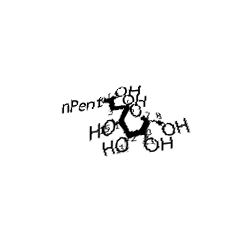 CCCCCC(O)C[C@]1(O)O[C@H](CO)[C@@H](O)[C@H](O)[C@@H]1O